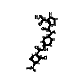 CN(C)c1ccc(C(=O)Nc2ccc(N(C)C(=O)c3nc[nH]c3C(N)=O)cc2)c(Cl)c1